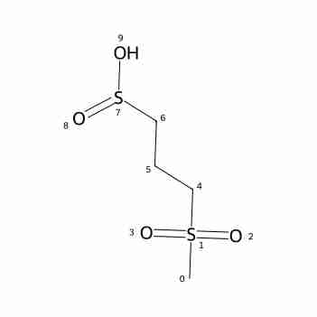 CS(=O)(=O)CCCS(=O)O